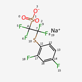 O=S(=O)([O-])C(F)(F)C(F)(F)Sc1ccc(F)cc1F.[Na+]